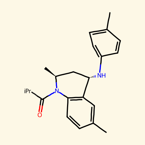 Cc1ccc(N[C@H]2C[C@H](C)N(C(=O)C(C)C)c3ccc(C)cc32)cc1